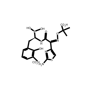 CC(C)(O/N=C(\C(=O)N[C@@H](Cc1cccc(C(=O)O)c1O)B(O)O)c1csc(N)n1)C(=O)O